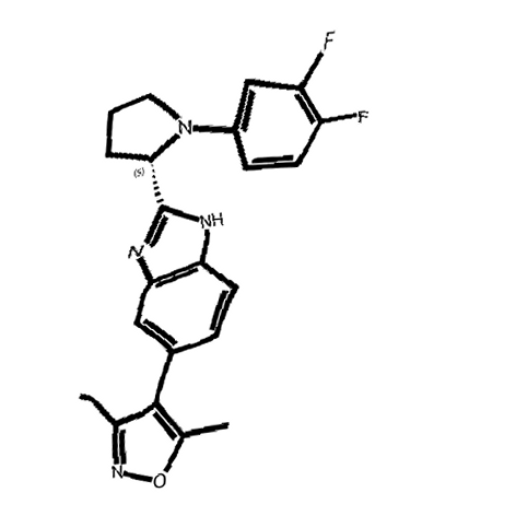 Cc1noc(C)c1-c1ccc2[nH]c([C@@H]3CCCN3c3ccc(F)c(F)c3)nc2c1